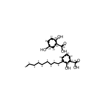 CCCCCCCCCc1cccc(C(=O)O)c1O.O=C(O)c1cc(O)ccc1O